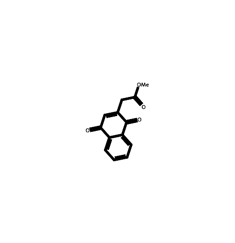 COC(=O)CC1=CC(=O)c2ccccc2C1=O